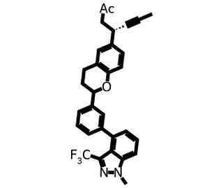 CC#C[C@@H](CC(C)=O)c1ccc2c(c1)CCC(c1cccc(-c3cccc4c3c(C(F)(F)F)nn4C)c1)O2